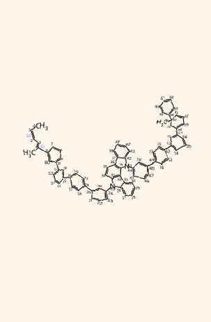 C/C=C\C=C(/C)c1cccc(-c2cccc(-c3ccc(-c4cccc(-n5c6ccccc6c6c5ccc5c7ccccc7n(-c7cccc(-c8ccc(-c9cccc(C%10=CC=CC(C)(c%11ccccc%11)C%10)c9)cc8)c7)c56)c4)cc3)c2)c1